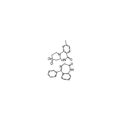 Cc1ccc(C(=O)N[C@H]2N=C(c3ccccc3)c3ccccc3NC2=O)c(N2CCS(=O)(=O)CC2)c1